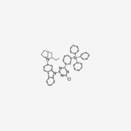 CCC1CC2CCC(C2)N1c1ccc2c3ccccc3n(-c3nc(Cl)nc(-c4cccc([Si](c5ccccc5)(c5ccccc5)c5ccccc5)c4)n3)c2c1